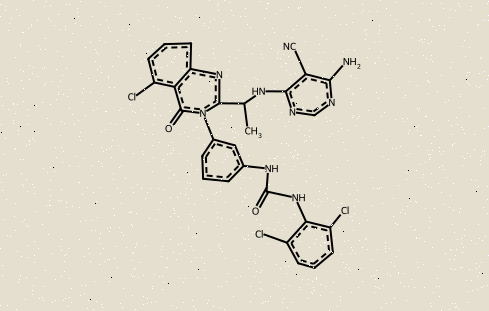 CC(Nc1ncnc(N)c1C#N)c1nc2cccc(Cl)c2c(=O)n1-c1cccc(NC(=O)Nc2c(Cl)cccc2Cl)c1